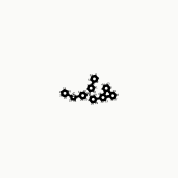 c1ccc(-c2ccc(N(c3ccc(-c4ccc(-c5ccccc5)s4)cc3)c3cccc(-c4ccc5c6ccccc6c6ccccc6c5c4)c3)cc2)cc1